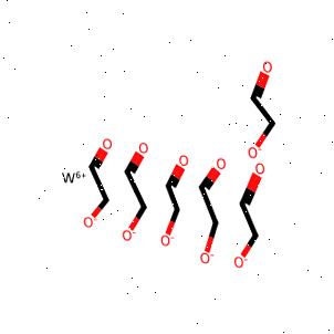 O=CC[O-].O=CC[O-].O=CC[O-].O=CC[O-].O=CC[O-].O=CC[O-].[W+6]